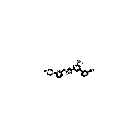 CN1CCN(c2cccc(Cn3cc(-c4cc(-c5cccc(C#N)c5)nc(N)n4)nn3)n2)CC1